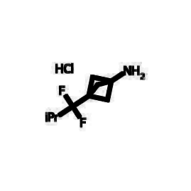 CC(C)C(F)(F)C12CC(N)(C1)C2.Cl